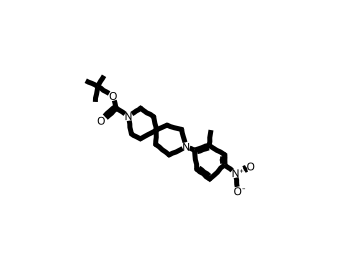 Cc1cc([N+](=O)[O-])ccc1N1CCC2(CCN(C(=O)OC(C)(C)C)CC2)CC1